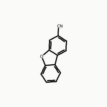 N#Cc1ccc2c(c1)oc1ccccc12